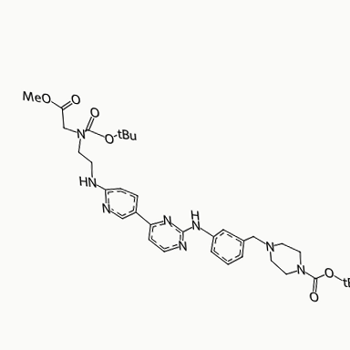 COC(=O)CN(CCNc1ccc(-c2ccnc(Nc3cccc(CN4CCN(C(=O)OC(C)(C)C)CC4)c3)n2)cn1)C(=O)OC(C)(C)C